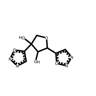 OC1C(c2cnno2)OCC1(O)c1cnno1